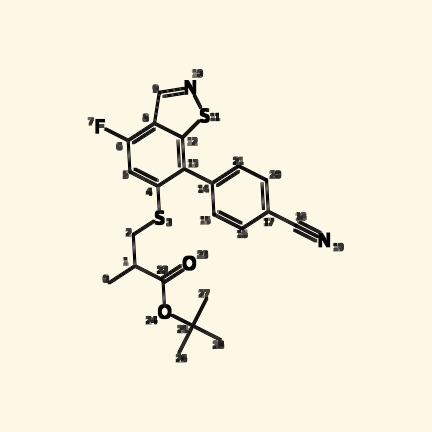 CC(CSc1cc(F)c2cnsc2c1-c1ccc(C#N)cc1)C(=O)OC(C)(C)C